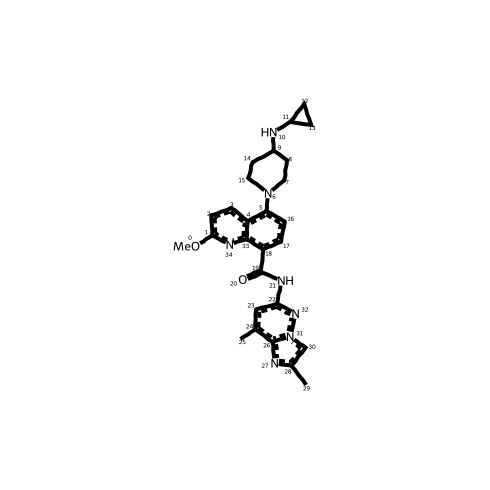 COc1ccc2c(N3CCC(NC4CC4)CC3)ccc(C(=O)Nc3cc(C)c4nc(C)cn4n3)c2n1